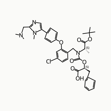 C[C@@H](C(=O)OC(C)(C)C)N(Cc1ccc(Cl)cc1Oc1ccc(-c2cnc(CN(C)C)n2C)cc1)C(=O)O[C@@H](Cc1ccccc1)C(=O)O